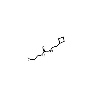 O=C(NCCCl)NCCC1CCC1